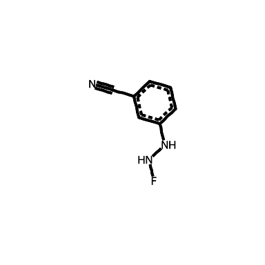 N#Cc1cccc(NNF)c1